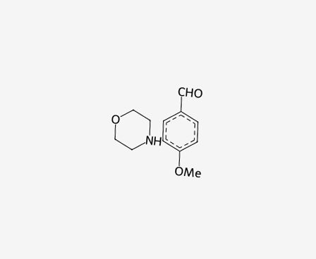 C1COCCN1.COc1ccc(C=O)cc1